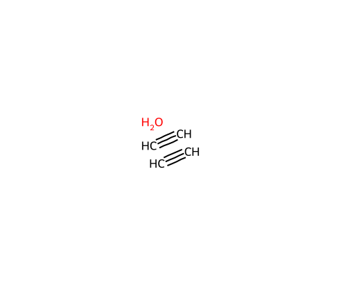 C#C.C#C.O